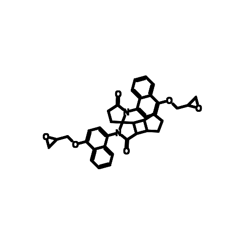 O=C1CCC2(C3C4CCCC4C3C(=O)N2c2ccc(OCC3CO3)c3ccccc23)N1c1ccc(OCC2CO2)c2ccccc12